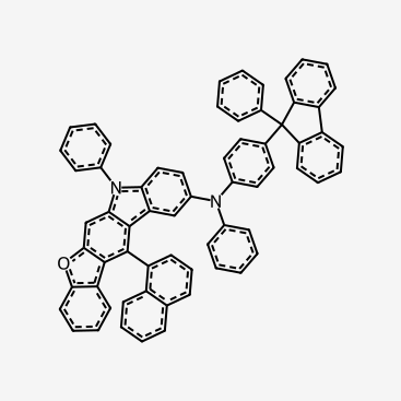 c1ccc(N(c2ccc(C3(c4ccccc4)c4ccccc4-c4ccccc43)cc2)c2ccc3c(c2)c2c(-c4cccc5ccccc45)c4c(cc2n3-c2ccccc2)oc2ccccc24)cc1